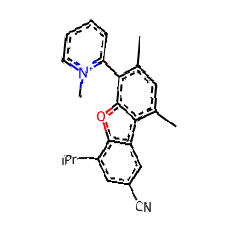 Cc1cc(C)c2c(oc3c(C(C)C)cc(C#N)cc32)c1-c1cccc[n+]1C